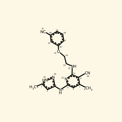 Cc1cc(Nc2cc(C)c(C#N)c(NCCOc3cccc(C#N)c3)n2)n[nH]1